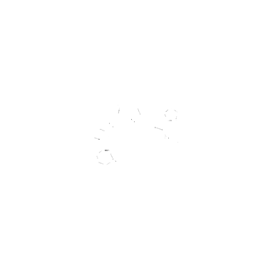 NC(=O)c1ccsc1C[CH]C(=O)N1CCC2C1C(=O)CN2S(=O)(=O)C(=O)c1cccnc1